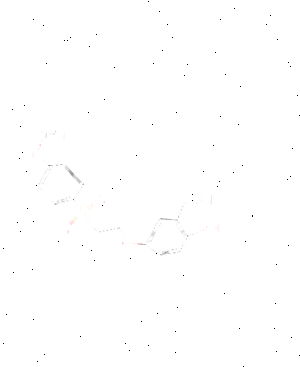 CCCCOc1ccc(S(=O)(=O)CCOc2ccc(O)c(C(=O)O)c2)cc1